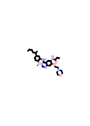 C=CC(=O)Nc1cc2c(Nc3cc(/C(C)=C/C=C\C)ccc3OC)ncnc2cc1OCCN1CCOCC1